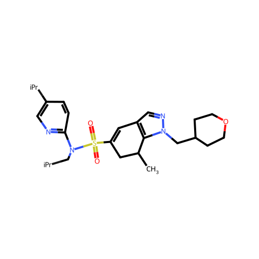 CC(C)CN(c1ccc(C(C)C)cn1)S(=O)(=O)C1=Cc2cnn(CC3CCOCC3)c2C(C)C1